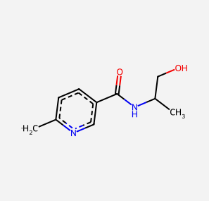 [CH2]c1ccc(C(=O)NC(C)CO)cn1